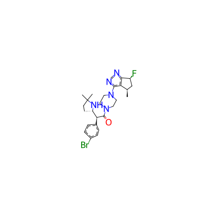 C[C@@H]1C[C@H](F)c2ncnc(N3CCN(C(=O)[C@@H](c4ccc(Br)cc4)[C@@H]4CCC(C)(C)N4)CC3)c21